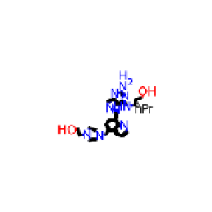 CCC[C@@H](CCO)Nc1nc(N)nc2cnn(Cc3ccc(CN4CCN(CCO)CC4)c4cccnc34)c12